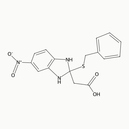 O=C(O)CC1(SCc2ccccc2)Nc2ccc([N+](=O)[O-])cc2N1